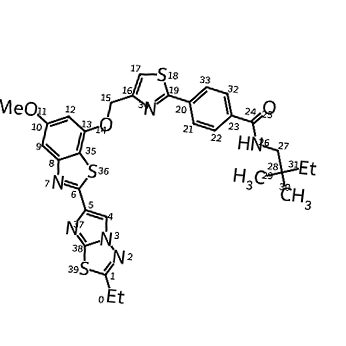 CCc1nn2cc(-c3nc4cc(OC)cc(OCc5csc(-c6ccc(C(=O)NCC(C)(C)CC)cc6)n5)c4s3)nc2s1